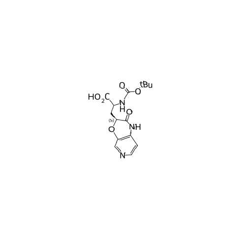 CC(C)(C)OC(=O)NC(C[C@@H]1Oc2cnccc2NC1=O)C(=O)O